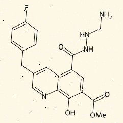 COC(=O)c1cc(C(=O)NNCN)c2cc(Cc3ccc(F)cc3)cnc2c1O